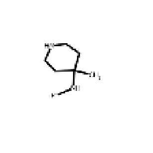 CC(C)NC1(C)CCNCC1